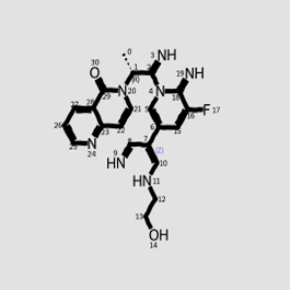 C[C@H](C(=N)n1cc(/C(C=N)=C/NCCO)cc(F)c1=N)n1ccc2ncccc2c1=O